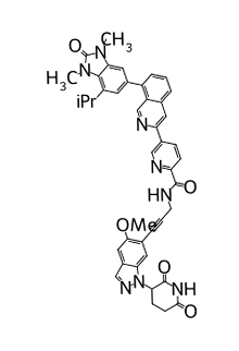 COc1cc2cnn(C3CCC(=O)NC3=O)c2cc1C#CCNC(=O)c1ccc(-c2cc3cccc(-c4cc(C(C)C)c5c(c4)n(C)c(=O)n5C)c3cn2)cn1